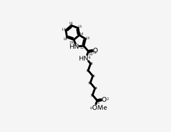 COC(=O)CCCCCCNC(=O)c1cc2ccccc2[nH]1